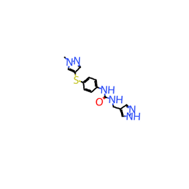 Cn1cc(Sc2ccc(NC(=O)NCc3cn[nH]c3)cc2)cn1